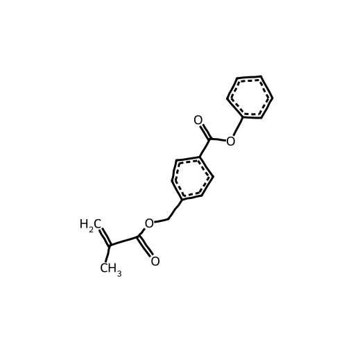 C=C(C)C(=O)OCc1ccc(C(=O)Oc2ccccc2)cc1